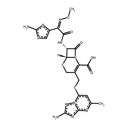 CO/N=C(\C(=O)N[C@@H]1C(=O)N2C(C(=O)O)=C(CSc3cc(C)nc4nc(N)nn34)CS[C@H]12)c1csc(N)n1